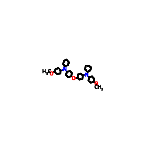 COc1ccc(N(c2ccccc2)c2ccc(Oc3ccc(N(c4ccccc4)c4ccc(OC)cc4)cc3)cc2)cc1